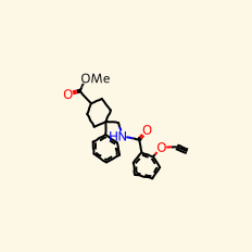 C#COc1ccccc1C(=O)NCC1(c2ccccc2)CCC(C(=O)OC)CC1